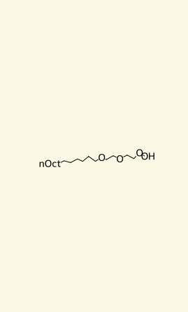 CCCCCCCCCCCCCCOCCOCCOO